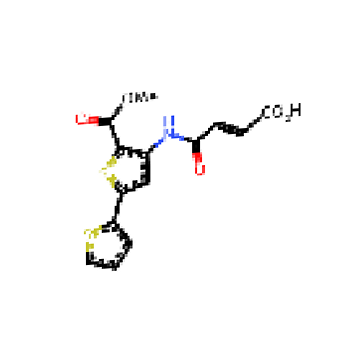 COC(=O)c1sc(-c2cccs2)cc1NC(=O)C=CC(=O)O